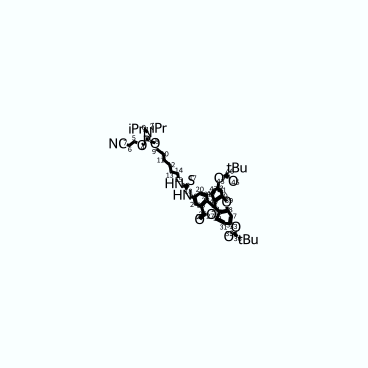 CC(C)N(C(C)C)P(OCCC#N)OCCCCCCNC(=S)Nc1ccc2c(c1)C(=O)OC21c2ccc(OC(=O)C(C)(C)C)cc2Oc2cc(OC(=O)C(C)(C)C)ccc21